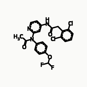 CC(=O)N(c1ccc(OC(F)F)cc1)c1cc(NC(=O)Cc2c(Cl)cccc2Cl)ccn1